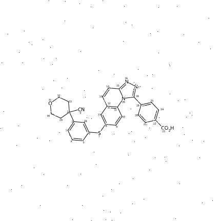 N#CC1(c2cccc(Sc3ccc4c(ccc5nnc(-c6ccc(C(=O)O)cc6)n54)c3)c2)CCOCC1